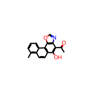 CC(=O)c1c(O)c2ccc3c(C)cccc3c2c2ocnc12